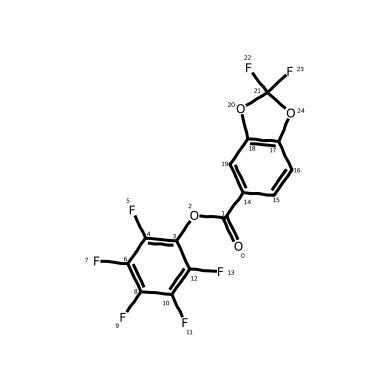 O=C(Oc1c(F)c(F)c(F)c(F)c1F)c1ccc2c(c1)OC(F)(F)O2